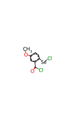 COc1ccc([Se]Cl)c(C(=O)Cl)c1